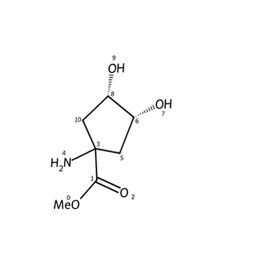 COC(=O)C1(N)C[C@@H](O)[C@@H](O)C1